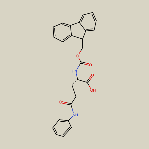 O=C(CC[C@H](NC(=O)OCC1c2ccccc2-c2ccccc21)C(=O)O)Nc1ccccc1